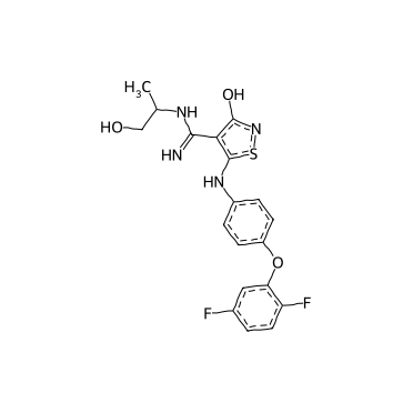 CC(CO)NC(=N)c1c(O)nsc1Nc1ccc(Oc2cc(F)ccc2F)cc1